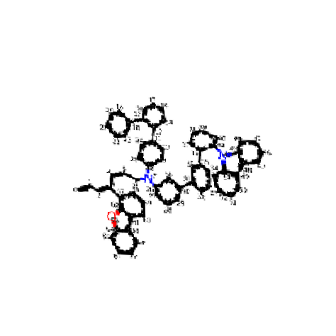 C=C/C=C(\C=C/CN(c1ccc(-c2ccccc2-c2ccccc2)cc1)c1cccc(-c2cccc(-c3ccccc3-n3c4ccccc4c4ccccc43)c2)c1)c1cccc2c1oc1ccccc12